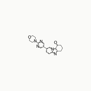 O=C1CCCc2nc3ccc(-c4cnc(N5CCOCC5)nc4)cn3c21